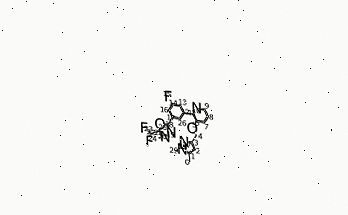 Cc1cc(COc2cccnc2-c2cc(F)cc(-c3nnc(C(F)F)o3)c2)nn1C